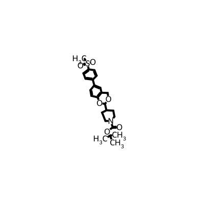 CC(C)(C)OC(=O)N1CCC(C2OCc3cc(-c4ccc(S(C)(=O)=O)cc4)ccc3O2)CC1